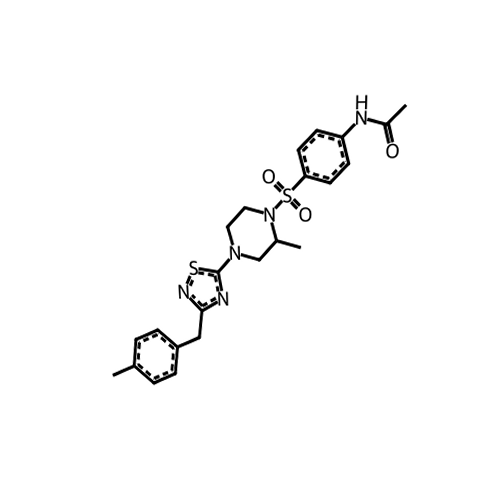 CC(=O)Nc1ccc(S(=O)(=O)N2CCN(c3nc(Cc4ccc(C)cc4)ns3)CC2C)cc1